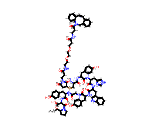 CNC(=O)C1CCCN1C(=O)C(NC(=O)C(Cc1ccc(O)cc1)NC(=O)CNC(=O)C(Cc1ccc(O)cc1)NC(=O)C(Cc1c[nH]c2ccccc12)NC(=O)C(Cc1c[nH]cn1)NC(=O)C(Cc1ccc(O)cc1)NC(=O)C(N)CSC1CC(=O)N(CCC(=O)NCCOCCOCCC(=O)NCCC(=O)N2Cc3ccccc3/C=C\c3ccccc32)C1=O)C(C)O